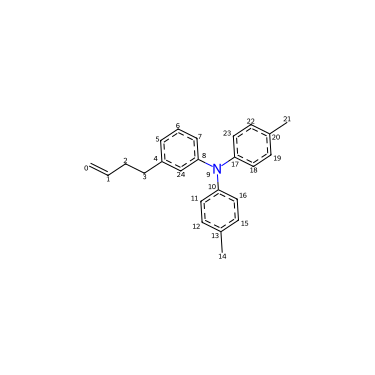 C=CCCc1cccc(N(c2ccc(C)cc2)c2ccc(C)cc2)c1